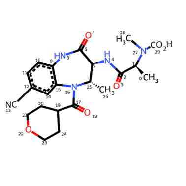 C[C@@H](C(=O)N[C@@H]1C(=O)Nc2ccc(C#N)cc2N(C(=O)C2CCOCC2)[C@H]1C)N(C)C(=O)O